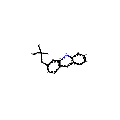 CC(C)(C)Cc1ccc2cc3ccccc3nc2c1